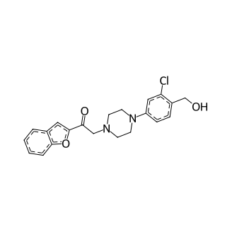 O=C(CN1CCN(c2ccc(CO)c(Cl)c2)CC1)c1cc2ccccc2o1